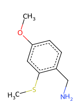 COc1ccc(CN)c(SC)c1